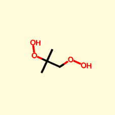 CC(C)(COO)OO